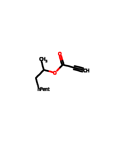 C#CC(=O)OC(C)CCCCCC